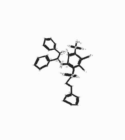 NS(=O)(=O)c1c(F)c(F)c(S(=O)(=O)CCc2ccccc2)c(N[C@@H](c2ccccc2)[C@H](O)c2ccccc2)c1F